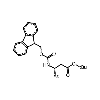 CC(=O)[C@H](CC(=O)OC(C)(C)C)NC(=O)OCC1c2ccccc2-c2ccccc21